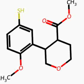 COC(=O)C1CCOCC1c1cc(S)ccc1OC